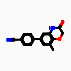 Cc1cc(-c2ccc(C#N)cc2)cc2c1OCC(=O)N2